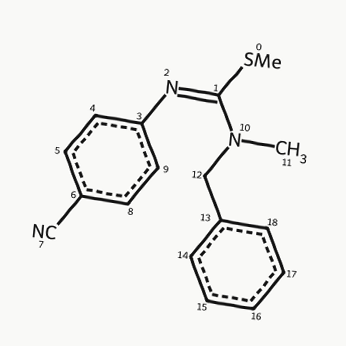 CS/C(=N/c1ccc(C#N)cc1)N(C)Cc1ccccc1